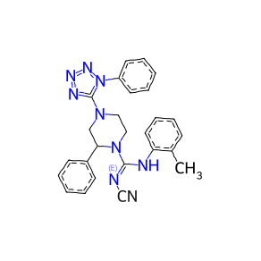 Cc1ccccc1N/C(=N\C#N)N1CCN(c2nnnn2-c2ccccc2)CC1c1ccccc1